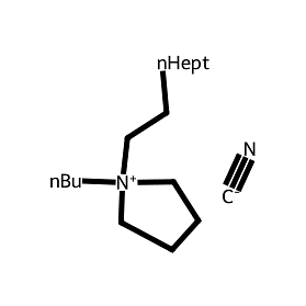 CCCCCCCCC[N+]1(CCCC)CCCC1.[C-]#N